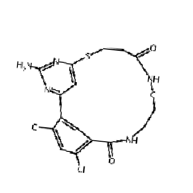 Nc1nc2cc(n1)-c1cc(c(Cl)cc1Cl)C(=O)NCCCNC(=O)CCS2